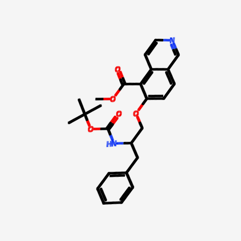 COC(=O)c1c(OCC(Cc2ccccc2)NC(=O)OC(C)(C)C)ccc2cnccc12